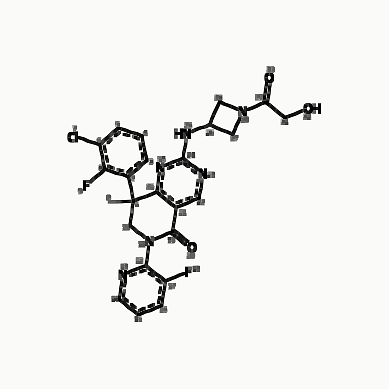 CC1(c2cccc(Cl)c2F)CN(c2ncccc2F)C(=O)c2cnc(NC3CN(C(=O)CO)C3)nc21